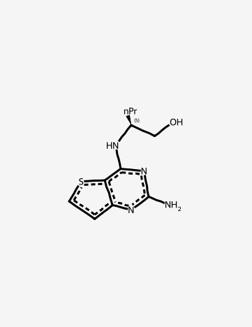 CCC[C@@H](CO)Nc1nc(N)nc2ccsc12